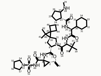 C=C[C@@H]1C[C@]1(NC(=O)[C@@H]1C[C@@]2(CN1C(=O)[C@@H](NC(=O)[C@@H](NC(=O)[C@@H]1CCCC1NC)C1CCCCC1)C(C)(C)C)C(C)(C)C21CCC1)C(=O)NS(=O)(=O)N1CCCC1